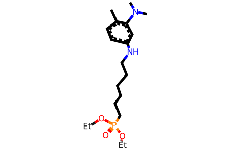 CCOP(=O)(CCCCCCNc1ccc(C)c(N(C)C)c1)OCC